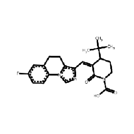 CC(C)(C)C1CCN(C(=O)O)C(=O)C1=Cc1ncn2c1CCc1cc(F)ccc1-2